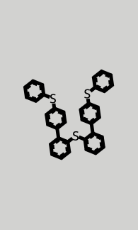 c1ccc(Sc2ccc(-c3ccccc3Sc3ccccc3-c3ccc(Sc4ccccc4)cc3)cc2)cc1